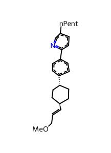 CCCCCc1ccc(-c2ccc([C@H]3CC[C@H](C=CCOC)CC3)cc2)nc1